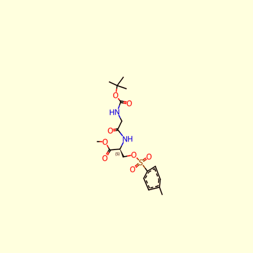 COC(=O)[C@H](COS(=O)(=O)c1ccc(C)cc1)NC(=O)CNC(=O)OC(C)(C)C